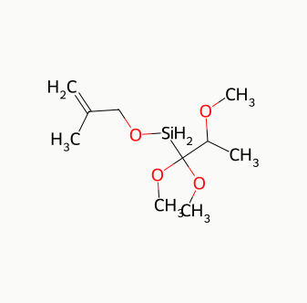 C=C(C)CO[SiH2]C(OC)(OC)C(C)OC